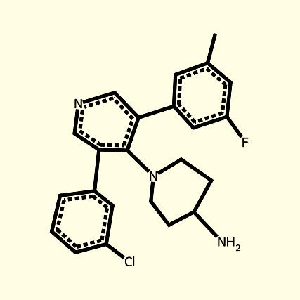 Cc1cc(F)cc(-c2cncc(-c3cccc(Cl)c3)c2N2CCC(N)CC2)c1